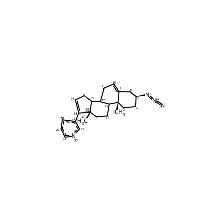 C[C@]12CC[C@H](N=[N+]=[N-])CC1=CCC1C2CC[C@]2(C)C(c3cccnc3)=CCC12